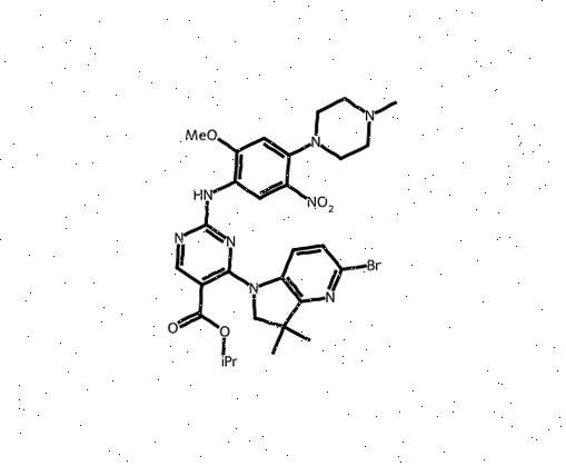 COc1cc(N2CCN(C)CC2)c([N+](=O)[O-])cc1Nc1ncc(C(=O)OC(C)C)c(N2CC(C)(C)c3nc(Br)ccc32)n1